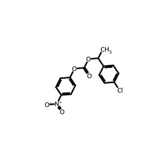 CC(OC(=O)Oc1ccc([N+](=O)[O-])cc1)c1ccc(Cl)cc1